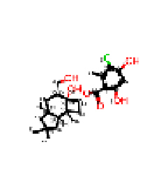 Cc1c(Cl)c(O)cc(O)c1C(=O)O[C@@H]1C[C@]2(C)[C@H]3CC(C)(C)C[C@H]3C[C@@H](CO)[C@]12O